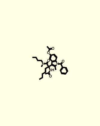 CCCCCC(NC(C)=O)(C(=O)N(C)CCCC)c1c(C)n(C(=O)c2ccccc2)c2ccc(OC(C)=O)cc12